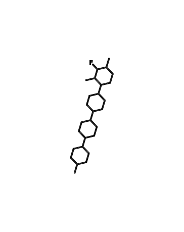 CC1CCC(C2CCC(C3CCC(C4CCC(C)C(F)C4C)CC3)CC2)CC1